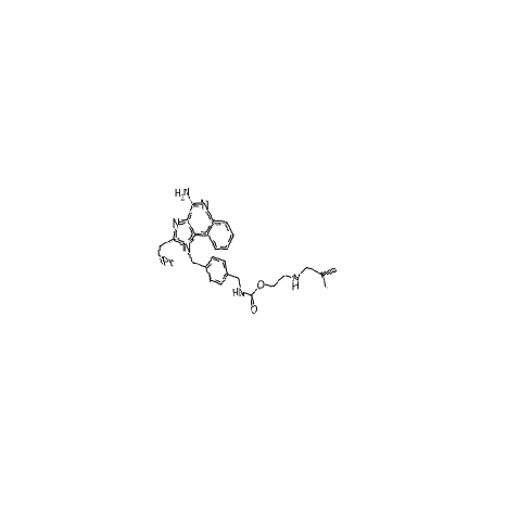 C=C(C)CNCCOC(=O)NCc1ccc(Cn2c(CC(C)C)nc3c(N)nc4ccccc4c32)cc1